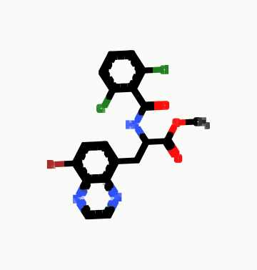 COC(=O)C(Cc1ccc(Br)c2nccnc12)NC(=O)c1c(Cl)cccc1Cl